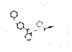 CC#CC(=O)N1CCC[C@@H]1Cn1nc(-c2ccc(Oc3ccccc3)cc2)c2cncnc21